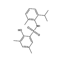 Cc1cc(C)c(O)c(S(=O)(=O)Nc2c(C)cccc2C(C)C)c1